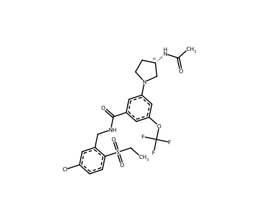 CCS(=O)(=O)c1ccc(Cl)cc1CNC(=O)c1cc(OC(F)(F)F)cc(N2CC[C@H](NC(C)=O)C2)c1